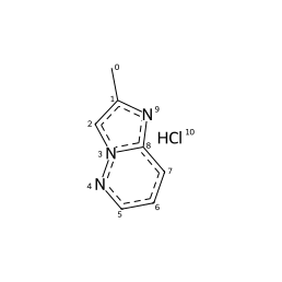 Cc1cn2ncccc2n1.Cl